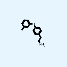 Cc1cccc(Oc2ccc(CCN)cc2)c1